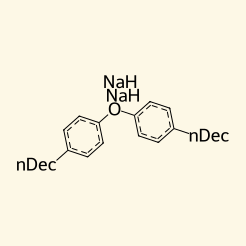 CCCCCCCCCCc1ccc(Oc2ccc(CCCCCCCCCC)cc2)cc1.[NaH].[NaH]